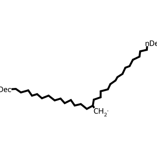 [CH2]C(CCCCCCCCCCCCCCCCCCCCCCCC)CCCCCCCCCCCCCCCCCCCCCCCC